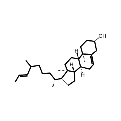 CC=CC(C)CCC[C@@H](C)[C@H]1CC[C@H]2[C@@H]3CC=C4C[C@@H](O)CC[C@]4(C)[C@H]3CC[C@]12C